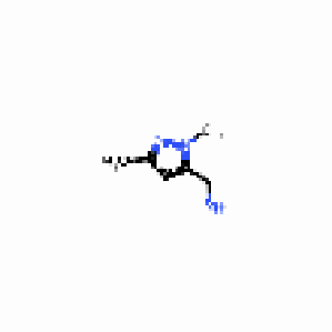 Cc1cc(C[NH])n(C)n1